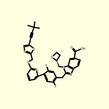 CC(C)(C)C#Cc1cnc(COc2cccc(-c3cc(F)c(Cc4nc5ccc(C(=O)O)cc5n4C[C@@H]4CCO4)cc3F)n2)s1